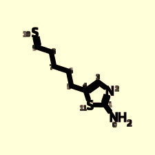 Nc1ncc(CCCCC=S)s1